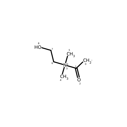 [CH2]C(=O)[N+](C)(C)CCO